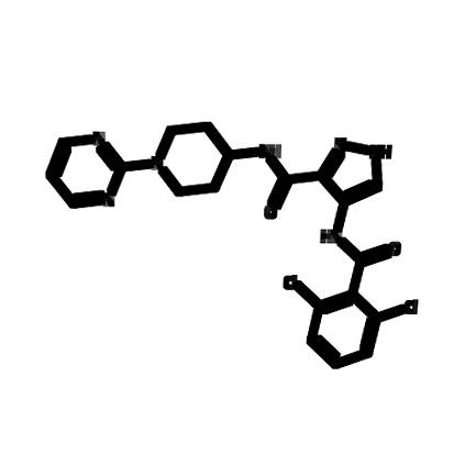 O=C(NC1CCN(c2ncccn2)CC1)c1n[nH]cc1NC(=O)c1c(Cl)cccc1Cl